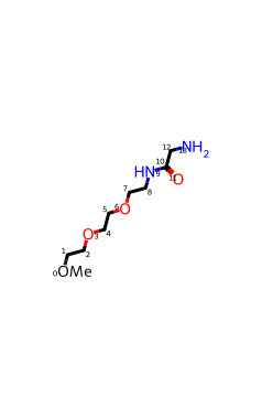 COCCOCCOCCNC(=O)CN